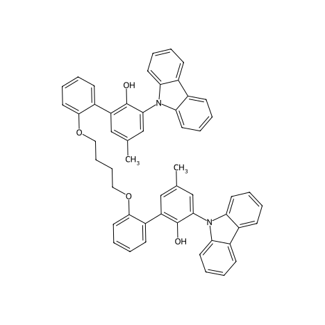 Cc1cc(-c2ccccc2OCCCCOc2ccccc2-c2cc(C)cc(-n3c4ccccc4c4ccccc43)c2O)c(O)c(-n2c3ccccc3c3ccccc32)c1